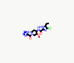 CCC1NC(C(=O)NC2CCN(C(=O)c3nnn[nH]3)CC2OC)=NC1Cl